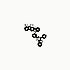 CC1(C)c2ccccc2-c2cc3c(cc21)c1ccccc1n3-c1cccc(-c2nc(-c3ccccc3)c3sc4ccccc4c3n2)c1